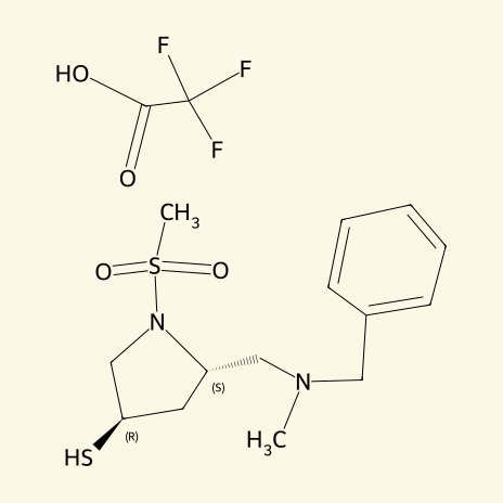 CN(Cc1ccccc1)C[C@@H]1C[C@@H](S)CN1S(C)(=O)=O.O=C(O)C(F)(F)F